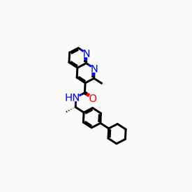 Cc1nc2ncccc2cc1C(=O)N[C@@H](C)c1ccc(C2=CCCCC2)cc1